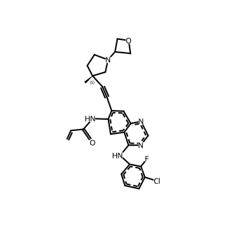 C=CC(=O)Nc1cc2c(Nc3cccc(Cl)c3F)ncnc2cc1C#C[C@]1(C)CCN(C2COC2)C1